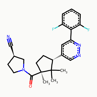 CC1(C)[C@@H](c2cnnc(-c3c(F)cccc3F)c2)CC[C@]1(C)C(=O)N1CC[C@@H](C#N)C1